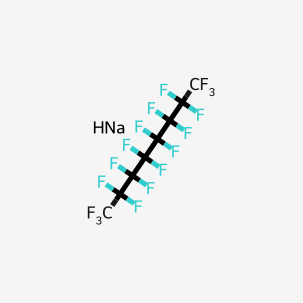 FC(F)(F)C(F)(F)C(F)(F)C(F)(F)C(F)(F)C(F)(F)C(F)(F)C(F)(F)F.[NaH]